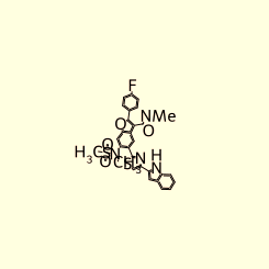 CNC(=O)c1c(-c2ccc(F)cc2)oc2cc(N(C)S(C)(=O)=O)c(-c3nc(-c4cc5ccccc5[nH]4)cs3)cc12